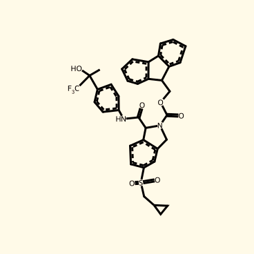 CC(O)(c1ccc(NC(=O)C2c3ccc(S(=O)(=O)CC4CC4)cc3CN2C(=O)OCC2c3ccccc3-c3ccccc32)cc1)C(F)(F)F